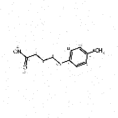 Cc1ccc(SCCCC(=O)N=O)cc1